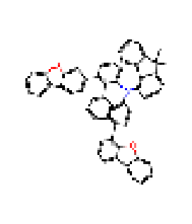 CC1(C)c2ccccc2-c2c(N(c3ccc(-c4cccc5c4oc4ccccc45)cc3)c3cccc(-c4ccc5c(c4)oc4ccccc45)c3-c3ccccc3)cccc21